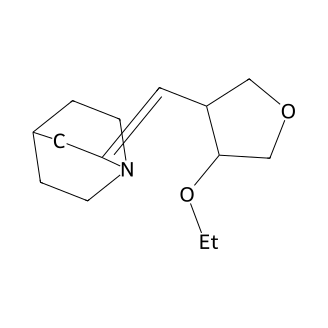 CCOC1COCC1C=C1CC2CCN1CC2